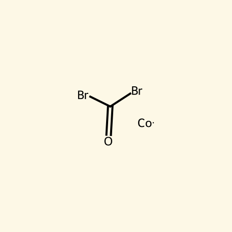 O=C(Br)Br.[Co]